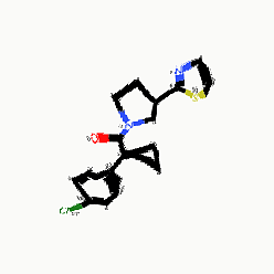 O=C(N1CCC(c2nccs2)C1)C1(c2ccc(Cl)cc2)CC1